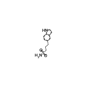 NS(=O)(=O)CCCc1ccc2[nH]ccc2c1